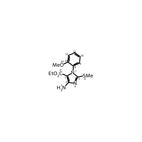 CCOC(=O)c1c(N)nc(SC)n1-c1ccccc1OC